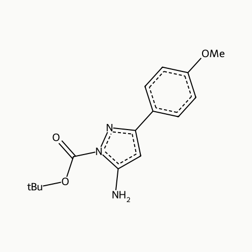 COc1ccc(-c2cc(N)n(C(=O)OC(C)(C)C)n2)cc1